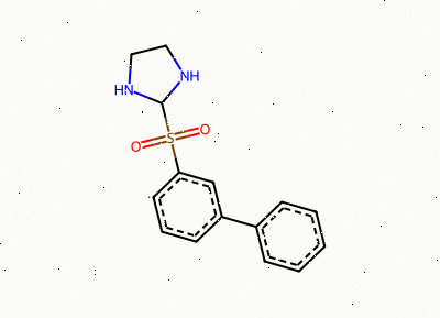 O=S(=O)(c1[c]ccc(-c2ccccc2)c1)C1NCCN1